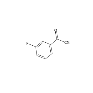 N#CC(=O)c1cccc(F)c1